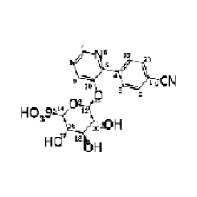 N#Cc1ccc(-c2ncccc2O[C@@H]2OC(S(=O)(=O)O)[C@@H](O)[C@H](O)[C@H]2O)cc1